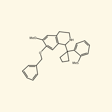 COc1cc2c(cc1OCc1ccccc1)C(C1(c3ccccc3SC)CCC1)NCC2